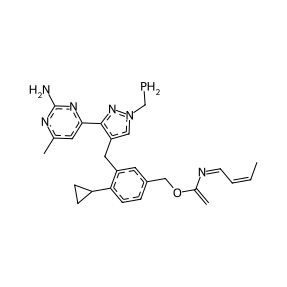 C=C(/N=C\C=C/C)OCc1ccc(C2CC2)c(Cc2cn(CP)nc2-c2cc(C)nc(N)n2)c1